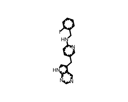 Ic1ccccc1CNc1ccc(Cc2c[nH]c3ncncc23)cn1